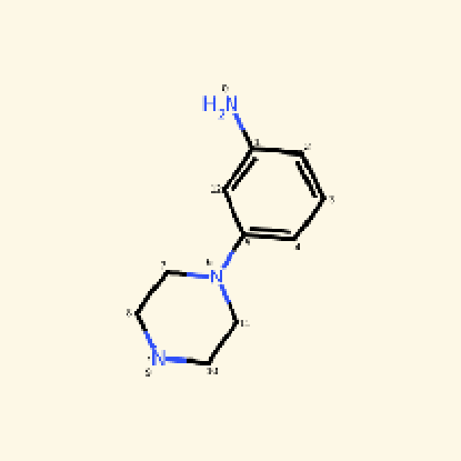 Nc1cccc(N2CC[N]CC2)c1